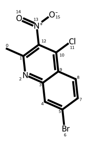 Cc1nc2cc(Br)ccc2c(Cl)c1[N+](=O)[O-]